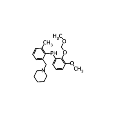 COCOc1c(OC)cccc1Pc1c(C)cccc1CN1CCCCC1